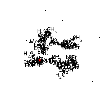 C=CCC(O)C[C@@H]1[C@@H](OC)[C@H](C(CC)(O[Si](CC)(CC)CC)O[Si](CC)(CC)CC)O[C@H]1C[C@H]1O[C@@H](CC[C@@H]2O[C@@H](CC[C@@]34C[C@H]5O[C@H]6[C@@H](O3)[C@@H](O[Si](CC)(CC)CC)[C@H](CC=C)O[C@H]6[C@H]5O4)CC2=C)C[C@@H](C)C1=C.C=CC[C@@H]1O[C@@H]2[C@H]3O[C@@H]4CC(CC[C@H]5CC(=C)[C@H](CC[C@H]6C[C@@H](C)C(=C)[C@@H](C[C@@H]7O[C@H](C[C@@H](CO[Si](CC)(CC)CC)O[Si](CC)(CC)CC)[C@H](OC)[C@H]7CC=O)O6)O5)(O[C@H]3[C@H]1O[Si](CC)(CC)CC)O[C@H]24